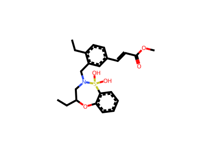 CCc1ccc(C=CC(=O)OC)cc1CN1CC(CC)Oc2ccccc2S1(O)O